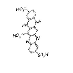 O=S(=O)(O)c1ccc2c(c1)Nc1c(cc3nc4cc(S(=O)(=O)O)ccc4nc3c1S(=O)(=O)O)N2